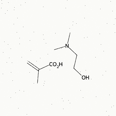 C=C(C)C(=O)O.CN(C)CCO